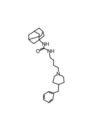 O=C(NCCCCN1CCC(Cc2ccccc2)CC1)NC12CC3CC(CC(C3)C1)C2